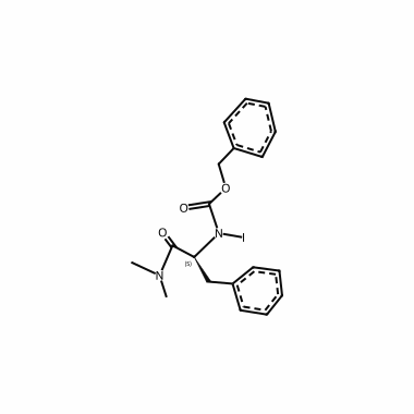 CN(C)C(=O)[C@H](Cc1ccccc1)N(I)C(=O)OCc1ccccc1